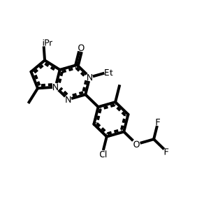 CCn1c(-c2cc(Cl)c(OC(F)F)cc2C)nn2c(C)cc(C(C)C)c2c1=O